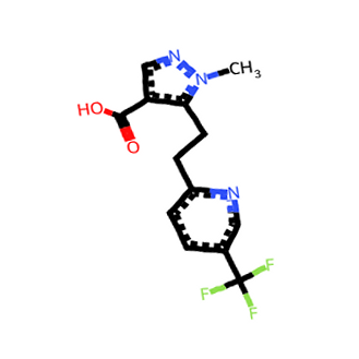 Cn1ncc(C(=O)O)c1CCc1ccc(C(F)(F)F)cn1